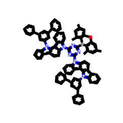 Cc1cc(C)c(B(c2nc(-n3c4ccccc4c4c3ccc3c5ccccc5n(-c5cc(-c6ccccc6)cc(-c6ccccc6)c5)c34)nc(-n3c4ccccc4c4c3ccc3c5ccccc5n(-c5cc(-c6ccccc6)cc(-c6ccccc6)c5)c34)n2)c2c(C)cc(C)cc2C)c(C)c1